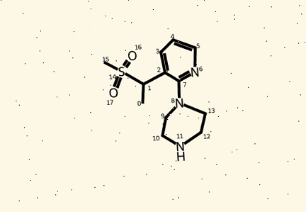 CC(c1cccnc1N1CCNCC1)S(C)(=O)=O